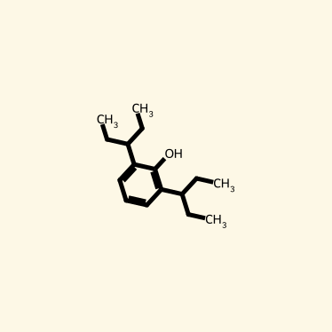 CCC(CC)c1cccc(C(CC)CC)c1O